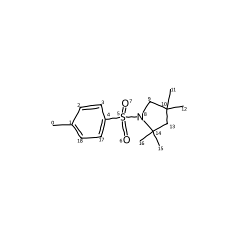 Cc1ccc(S(=O)(=O)N2CC(C)(C)CC2(C)C)cc1